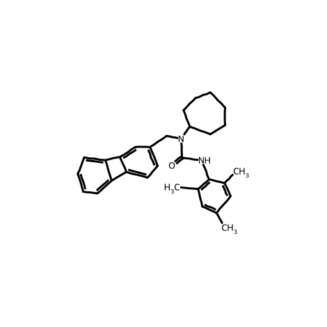 Cc1cc(C)c(NC(=O)N(Cc2ccc3c(c2)-c2ccccc2-3)C2CCCCCC2)c(C)c1